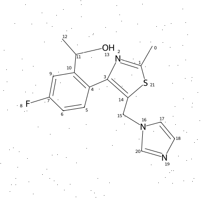 Cc1nc(-c2ccc(F)cc2C(C)O)c(Cn2ccnc2)s1